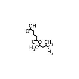 CC(C)CC(C)OC(=O)CCCC(=O)O